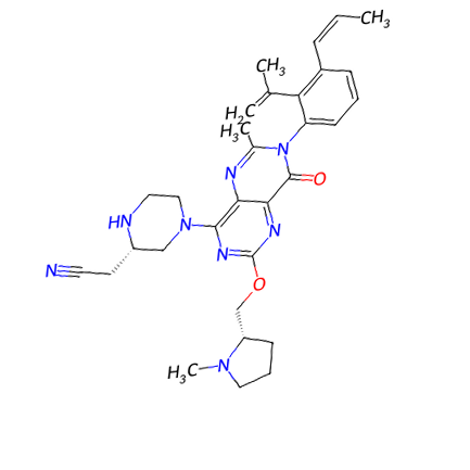 C=C(C)c1c(/C=C\C)cccc1-n1c(C)nc2c(N3CCN[C@@H](CC#N)C3)nc(OC[C@@H]3CCCN3C)nc2c1=O